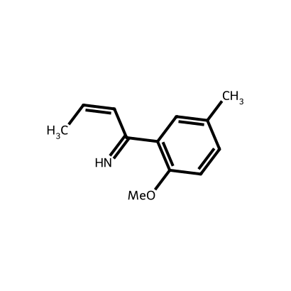 C/C=C\C(=N)c1cc(C)ccc1OC